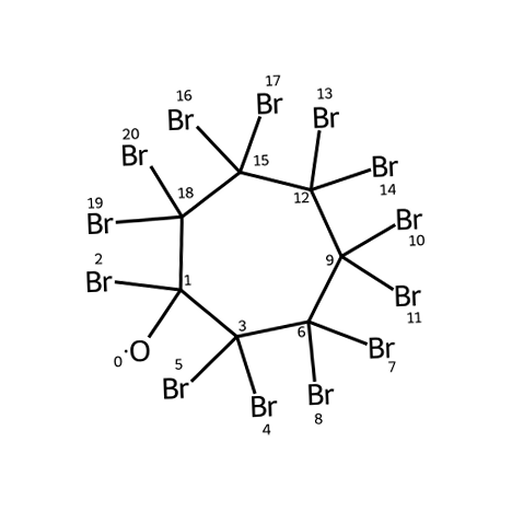 [O]C1(Br)C(Br)(Br)C(Br)(Br)C(Br)(Br)C(Br)(Br)C(Br)(Br)C1(Br)Br